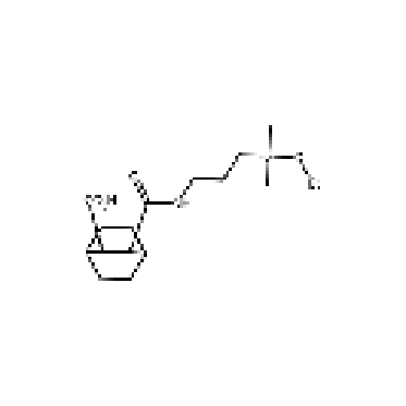 CCO[Si](C)(C)CCCNC(=O)C1C2CCC(CC2)C1C(=O)O